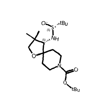 CC(C)(C)OC(=O)N1CCC2(CC1)OCC(C)(C)[C@@H]2N[S@+]([O-])C(C)(C)C